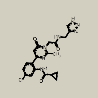 Cc1nc(-c2ccc(Cl)cc2NC(=O)C2CC2)cc(=O)n1CC(=O)NCc1c[nH]nn1